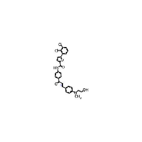 CN(CCO)c1ccc(/C=C/C(=O)c2ccc(NC(=O)c3ccc(-c4cccc(Cl)c4Cl)o3)cc2)cc1